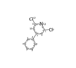 Clc1cc(-c2ccccc2)cc(Cl)n1